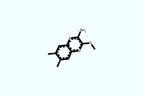 COc1nc2cc(C)c(C)cc2nc1N